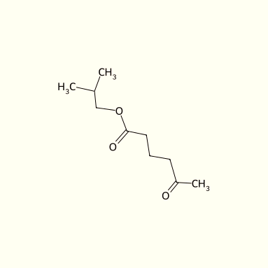 CC(=O)CCCC(=O)OCC(C)C